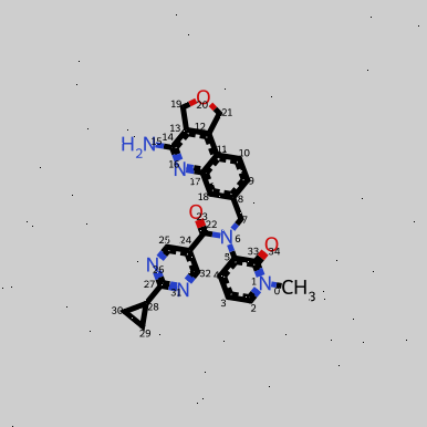 Cn1cccc(N(Cc2ccc3c4c(c(N)nc3c2)COC4)C(=O)c2cnc(C3CC3)nc2)c1=O